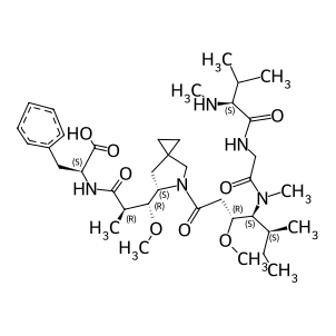 CC[C@H](C)[C@@H]([C@@H](CC(=O)N1CC2(CC2)C[C@H]1[C@H](OC)[C@@H](C)C(=O)N[C@@H](Cc1ccccc1)C(=O)O)OC)N(C)C(=O)CNC(=O)[C@@H](NC)C(C)C